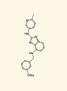 COc1cccc(CNc2cccn3nc(Nc4ccc(C)nc4)nc23)c1